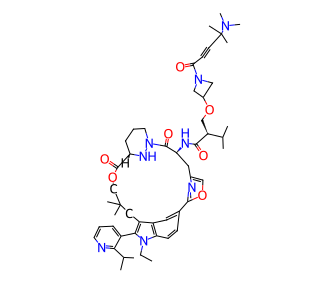 CCn1c(-c2cccnc2C(C)C)c2c3cc(ccc31)-c1nc(co1)C[C@H](NC(=O)[C@@H](COC1CN(C(=O)C#CC(C)(C)N(C)C)C1)C(C)C)C(=O)N1CCC[C@H](N1)C(=O)OCC(C)(C)C2